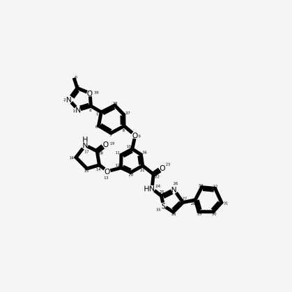 Cc1nnc(-c2ccc(Oc3cc(OC4CCNC4=O)cc(C(=O)Nc4nc(-c5ccccc5)cs4)c3)cc2)o1